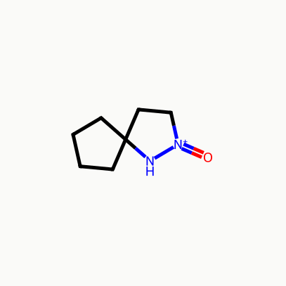 O=[N+]1CCC2(CCCC2)N1